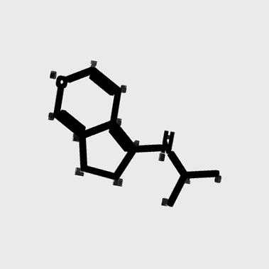 CC(C)NC1=C2C=COC=C2CC1